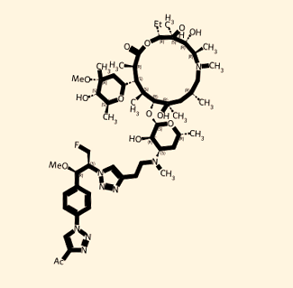 CC[C@H]1OC(=O)[C@H](C)[C@@H](C2C[C@@](C)(OC)[C@@H](O)[C@H](C)O2)[C@H](C)[C@@H](O[C@@H]2O[C@H](C)C[C@H](N(C)CCc3cn([C@H](CF)[C@H](OC)c4ccc(-n5cc(C(C)=O)nn5)cc4)nn3)[C@H]2O)[C@](C)(O)C[C@@H](C)CN(C)[C@H](C)[C@@H](O)[C@]1(C)O